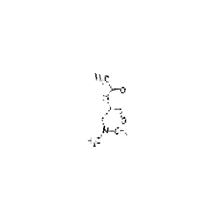 CC(=O)OC(C=O)CN(C)C